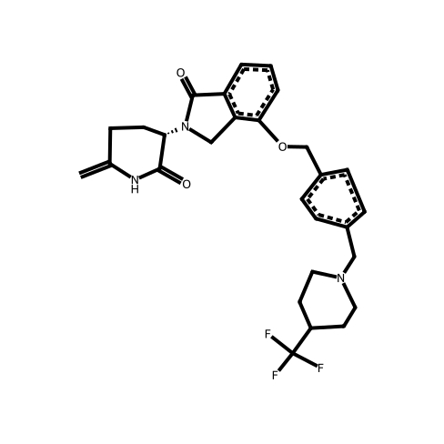 C=C1CC[C@H](N2Cc3c(OCc4ccc(CN5CCC(C(F)(F)F)CC5)cc4)cccc3C2=O)C(=O)N1